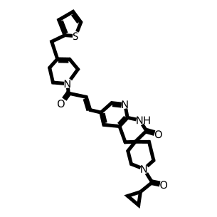 O=C(C=Cc1cnc2c(c1)CC1(CCN(C(=O)C3CC3)CC1)C(=O)N2)N1CC=C(Cc2cccs2)CC1